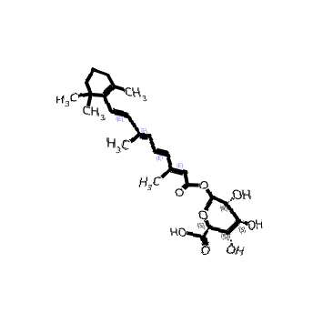 CC1=C(/C=C/C(C)=C/C=C/C(C)=C/C(=O)OC2O[C@H](C(=O)O)[C@@H](O)[C@H](O)[C@H]2O)C(C)(C)CCC1